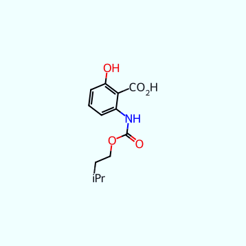 CC(C)CCOC(=O)Nc1cccc(O)c1C(=O)O